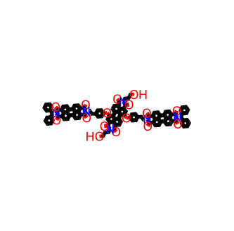 O=C1c2ccc3c4ccc5c6c(ccc(c7ccc(c2c37)C(=O)N1CCc1ccc(Oc2cc3c7c(ccc8c9c(Oc%10ccc(CCN%11C(=O)c%12ccc%13c%14ccc%15c%16c(ccc(c%17ccc(c%12c%13%17)C%11=O)c%16%14)C(=O)N(C(c%11ccccc%11)c%11ccccc%11)C%15=O)cc%10)cc%10c%11c(ccc(c2c78)c%119)C(=O)N(CCCO)C%10=O)C(=O)N(CCCO)C3=O)cc1)c64)C(=O)N(C(c1ccccc1)c1ccccc1)C5=O